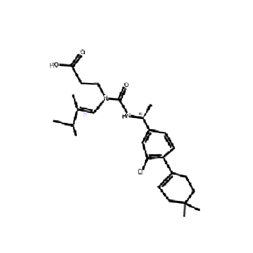 C/C(=C\N(CCC(=O)O)C(=O)N[C@@H](C)c1ccc(C2=CCC(C)(C)CC2)c(Cl)c1)C(C)C